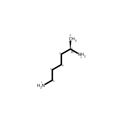 C[C@@H](N)CCCCN